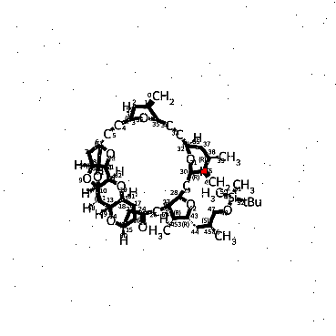 C=C1C[C@@H]2CC[C@@]34C[C@H]5O[C@H]6[C@@H](O3)[C@H]3O[C@@H](CC[C@@H]3O[C@H]6[C@H]5O4)CC(=O)C[C@H]3C(C[C@H]4O[C@@H](CCC1O2)C[C@@H](C)C4=C)O[C@H](C[C@H](C)CO[Si](C)(C)C(C)(C)C)[C@@H]3C